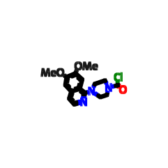 COc1cc2ccnc(N3CCN(C(=O)Cl)CC3)c2cc1OC